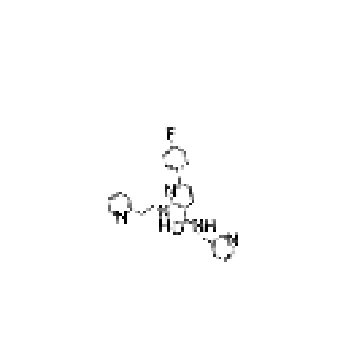 O=C(NCc1cccnc1)c1ccc(-c2ccc(F)cc2)nc1NCCc1ccccn1